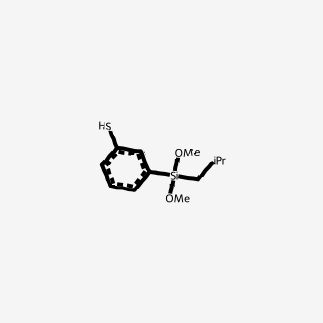 CO[Si](CC(C)C)(OC)c1cccc(S)c1